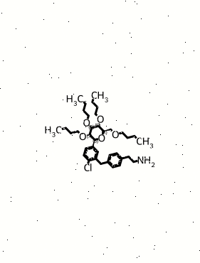 CCCCOC[C@H]1O[C@@H](c2ccc(Cl)c(Cc3ccc(CCN)cc3)c2)[C@H](OCCCC)[C@@H](OCCCC)[C@@H]1OCCCC